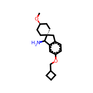 CO[C@H]1CC[C@]2(CC1)Cc1ccc(OCC3CCC3)cc1C2N